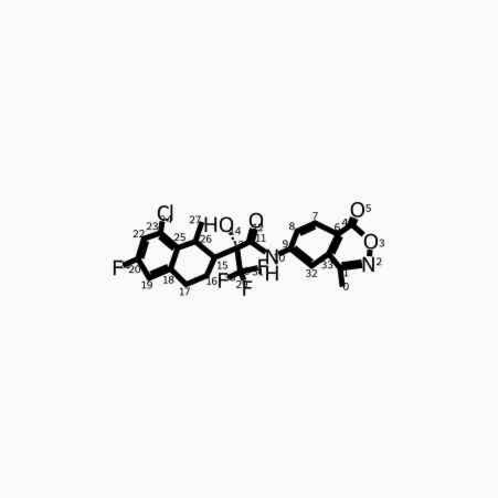 Cc1noc(=O)c2ccc(NC(=O)[C@](O)(C3CCc4cc(F)cc(Cl)c4C3C)C(F)(F)F)cc12